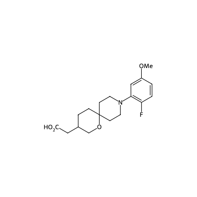 COc1ccc(F)c(N2CCC3(CCC(CC(=O)O)CO3)CC2)c1